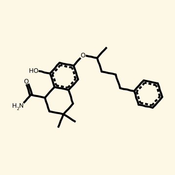 CC(CCCc1ccccc1)Oc1cc(O)c2c(c1)CC(C)(C)CC2C(N)=O